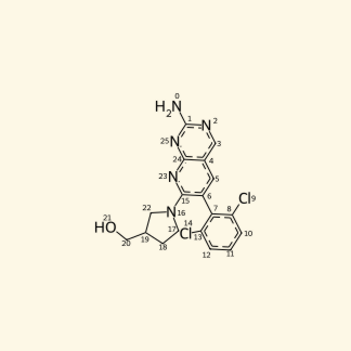 Nc1ncc2cc(-c3c(Cl)cccc3Cl)c(N3CCC(CO)C3)nc2n1